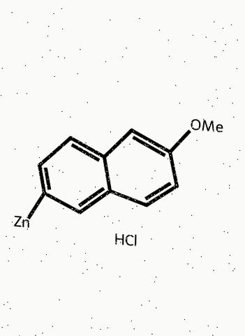 COc1ccc2c[c]([Zn])ccc2c1.Cl